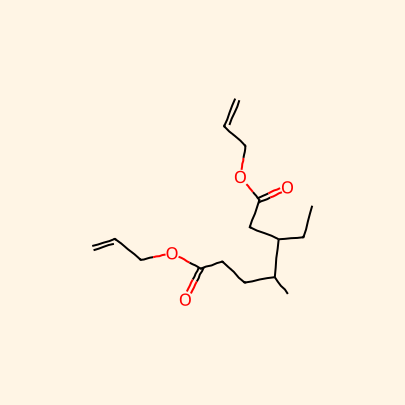 C=CCOC(=O)CCC(C)C(CC)CC(=O)OCC=C